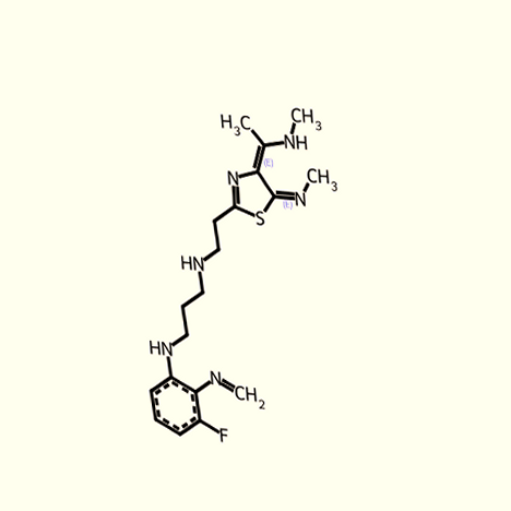 C=Nc1c(F)cccc1NCCCNCCC1=NC(=C(\C)NC)/C(=N\C)S1